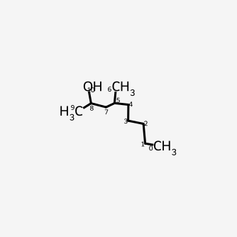 CCCCCC(C)CC(C)O